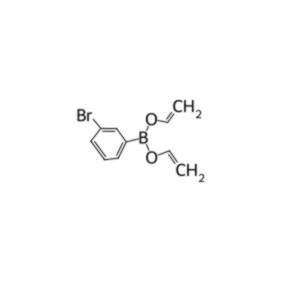 C=COB(OC=C)c1cccc(Br)c1